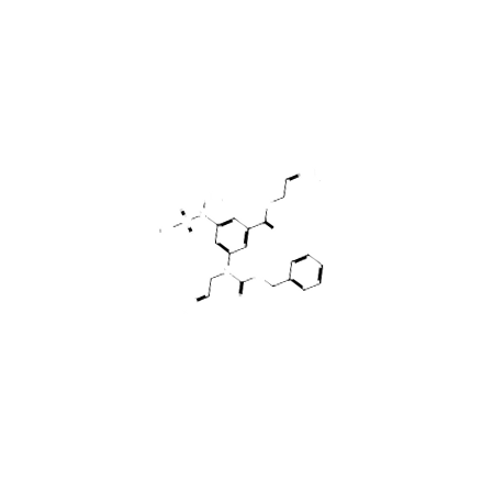 C=CCOC(=O)c1cc(N(CC=C)C(=O)OCc2ccccc2)cc(N(C)S(=O)(=O)CCC)c1